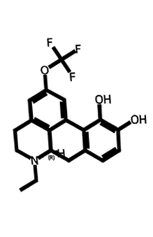 CCN1CCc2cc(OC(F)(F)F)cc3c2[C@H]1Cc1ccc(O)c(O)c1-3